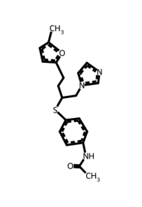 CC(=O)Nc1ccc(SC(CCc2ccc(C)o2)Cn2ccnc2)cc1